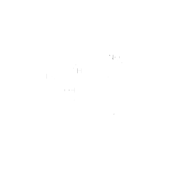 Cl.O=[N+]([O-])c1ccccc1.OO